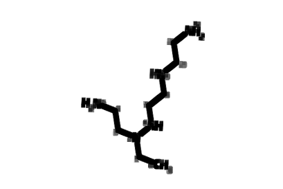 CCN(CCN)NCCNCCN